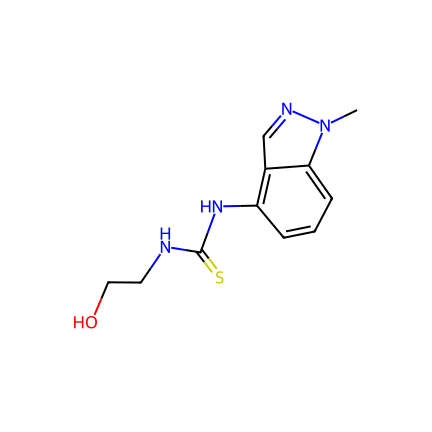 Cn1ncc2c(NC(=S)NCCO)cccc21